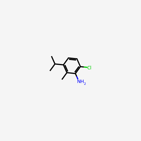 Cc1c(C(C)C)ccc(Cl)c1N